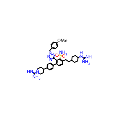 COc1ccc(Cn2nnc(-c3c(-c4ccc(C5CCN(C(=N)N)CC5)cc4)ccc(CCC4CCC(NC(=N)N)CC4)c3S(N)(=O)=O)n2)cc1